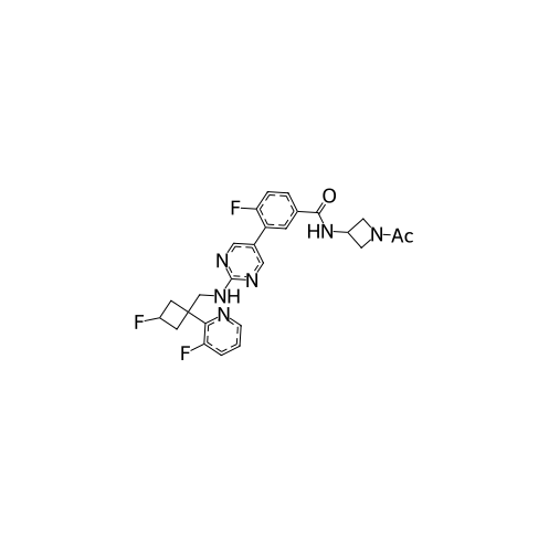 CC(=O)N1CC(NC(=O)c2ccc(F)c(-c3cnc(NCC4(c5ncccc5F)CC(F)C4)nc3)c2)C1